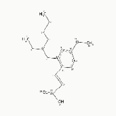 CCCCC(CC)Cc1cc(OC)ccc1C=CC(=O)O